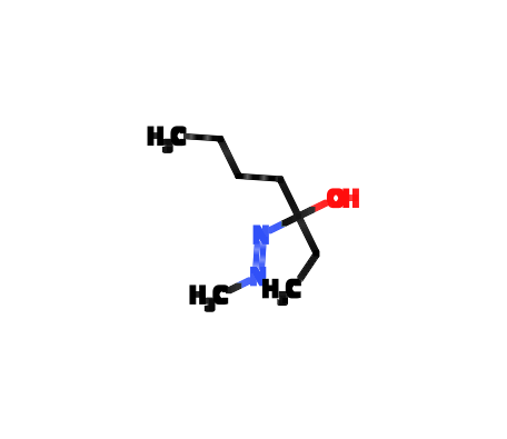 CCCCC(O)(CC)N=NC